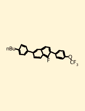 CCCCc1ccc(-c2ccc3c(F)c(-c4ccc(OC(F)(F)F)cc4)ccc3c2)cc1